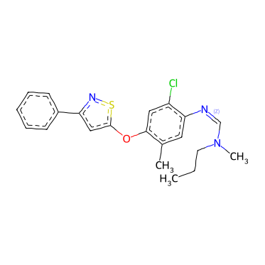 CCCN(C)/C=N\c1cc(C)c(Oc2cc(-c3ccccc3)ns2)cc1Cl